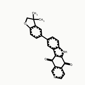 CC1(C)COc2ccc(-c3ccc4[nH]c5c(c4c3)C(=O)c3cnccc3C5=O)cc21